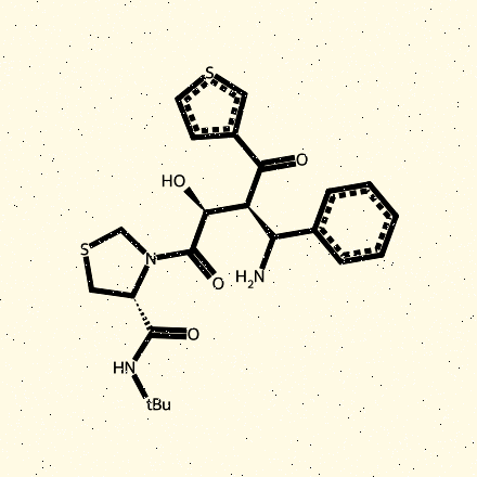 CC(C)(C)NC(=O)[C@@H]1CSCN1C(=O)[C@@H](O)[C@@H](C(=O)c1ccsc1)C(N)c1ccccc1